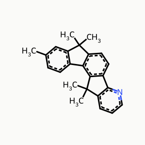 Cc1ccc2c(c1)C(C)(C)c1ccc3c(c1-2)C(C)(C)c1cccnc1-3